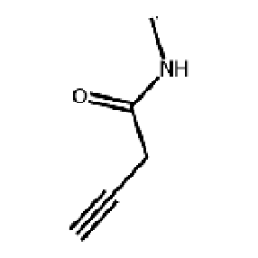 C#CCC(=O)N[CH2]